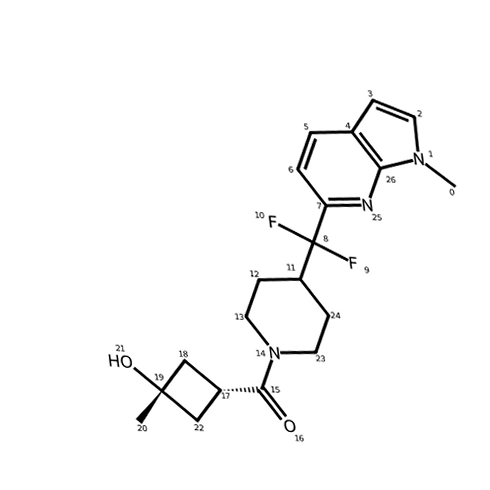 Cn1ccc2ccc(C(F)(F)C3CCN(C(=O)[C@H]4C[C@@](C)(O)C4)CC3)nc21